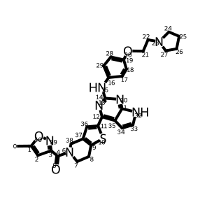 Cc1cc(C(=O)N2CCc3sc(-c4nc(Nc5ccc(OCCN6CCCC6)cc5)nc5[nH]ccc45)cc3C2)no1